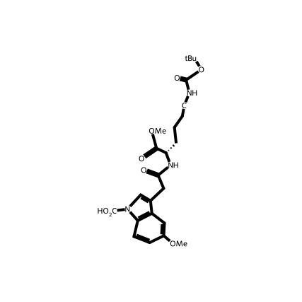 COC(=O)[C@H](CCCCNC(=O)OC(C)(C)C)NC(=O)Cc1cn(C(=O)O)c2ccc(OC)cc12